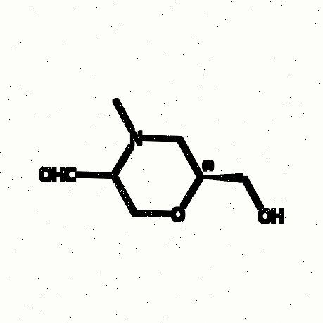 CN1C[C@H](CO)OCC1C=O